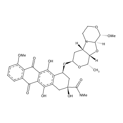 CNC(=O)[C@]1(O)Cc2c(O)c3c(c(O)c2[C@@H](O[C@H]2C[C@H]4[C@H](O[C@@H]5[C@@H](OC)OCCN54)[C@H](C)O2)C1)C(=O)c1c(OC)cccc1C3=O